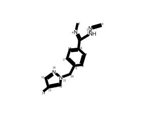 C=NN/C(=N\C)c1ccc(Cn2cc(C)cn2)cc1